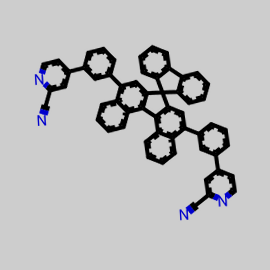 N#Cc1cc(-c2cccc(-c3cc4c(c5ccccc35)-c3c(cc(-c5cccc(-c6ccnc(C#N)c6)c5)c5ccccc35)C43c4ccccc4-c4ccccc43)c2)ccn1